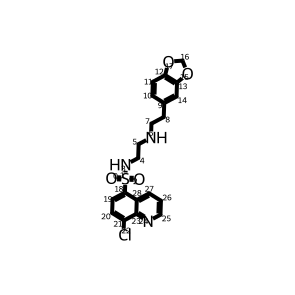 O=S(=O)(NCCNCCc1ccc2c(c1)OCO2)c1ccc(Cl)c2ncccc12